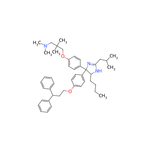 CCCCC1NC(CC(C)C)=NC1(c1ccc(OCCC(c2ccccc2)c2ccccc2)cc1)c1ccc(OCC(C)(C)CN(C)C)cc1